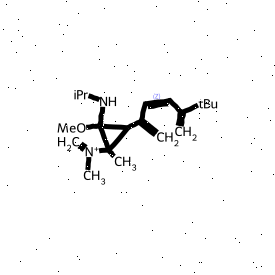 C=C(/C=C\C(=C)C(C)(C)C)C1C(NC(C)C)(OC)C1(C)[N+](=C)C